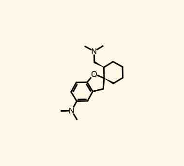 CN(C)C[C@H]1CCCC[C@]12Cc1cc(N(C)C)ccc1O2